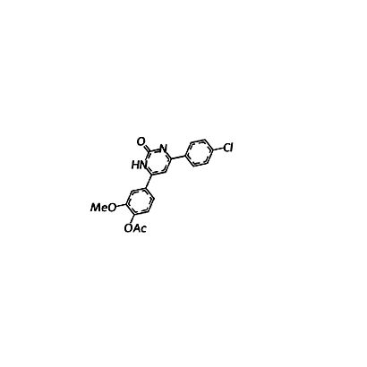 COc1cc(-c2cc(-c3ccc(Cl)cc3)nc(=O)[nH]2)ccc1OC(C)=O